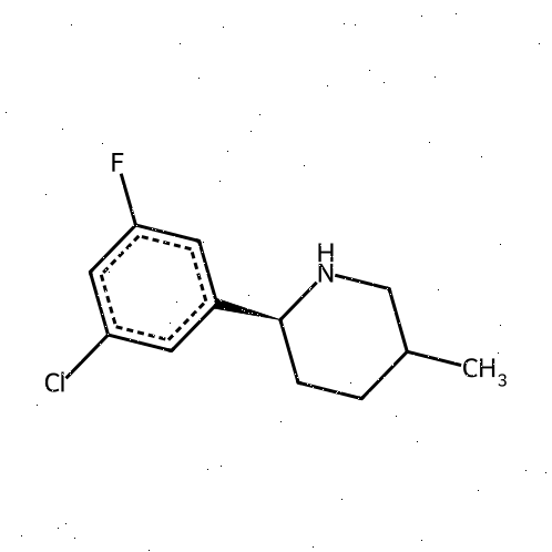 CC1CC[C@@H](c2cc(F)cc(Cl)c2)NC1